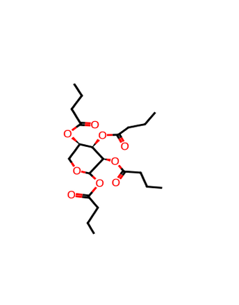 CCCC(=O)OC1OC[C@@H](OC(=O)CCC)[C@@H](OC(=O)CCC)[C@H]1OC(=O)CCC